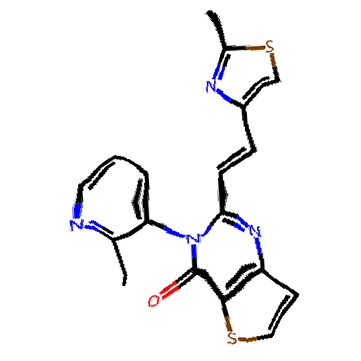 Cc1nc(C=Cc2nc3ccsc3c(=O)n2-c2cccnc2C)cs1